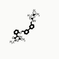 COC(=O)C(NC(C)=O)c1ccccc1OCc1cccc(-c2cccc(CNC(=O)OC(C)(C)C)c2)c1